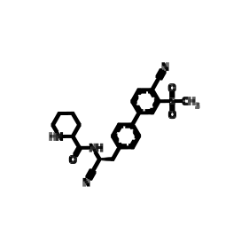 CS(=O)(=O)c1cc(-c2ccc(C[C@@H](C#N)NC(=O)C3CCCCN3)cc2)ccc1C#N